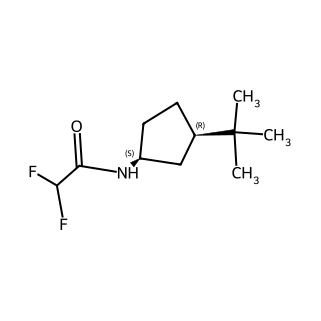 CC(C)(C)[C@@H]1CC[C@H](NC(=O)C(F)F)C1